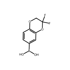 OB(O)c1ccc2c(c1)OC(F)(F)CO2